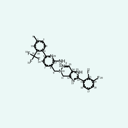 Cc1ccc(-c2ccc(CN3Cc4nc(-c5cccc(F)c5F)[nH]c4C=N3)c(N)n2)c(C(F)(F)F)c1